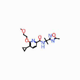 COCCOc1nc(C(=O)NC(C)(C)c2noc(C)n2)ccc1C1CC1